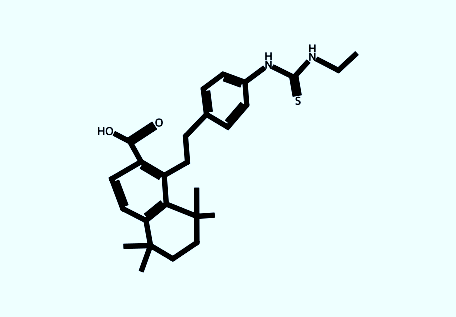 CCNC(=S)Nc1ccc(CCc2c(C(=O)O)ccc3c2C(C)(C)CCC3(C)C)cc1